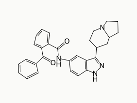 O=C(Nc1ccc2[nH]nc(C3CCN4CCCC4C3)c2c1)c1ccccc1C(=O)c1ccccc1